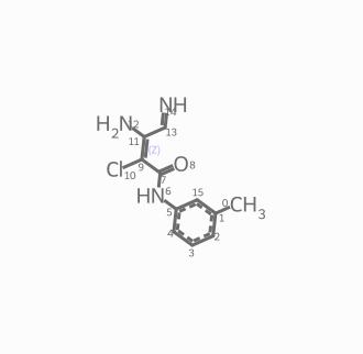 Cc1cccc(NC(=O)/C(Cl)=C(/N)C=N)c1